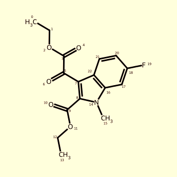 CCOC(=O)C(=O)c1c(C(=O)OCC)n(C)c2cc(F)ccc12